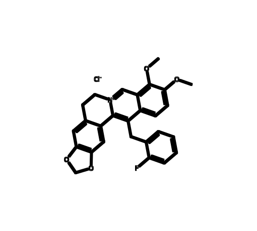 COc1ccc2c(Cc3ccccc3F)c3[n+](cc2c1OC)CCc1cc2c(cc1-3)OCO2.[Cl-]